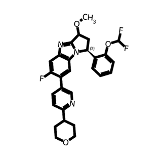 COC1C[C@@H](c2ccccc2OC(F)F)n2c1nc1cc(F)c(-c3ccc(C4CCOCC4)nc3)cc12